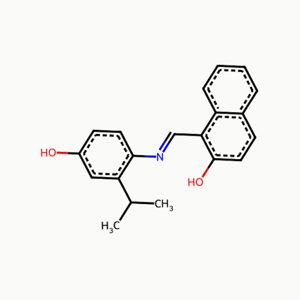 CC(C)c1cc(O)ccc1N=Cc1c(O)ccc2ccccc12